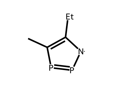 CCC1=C(C)P=P[N]1